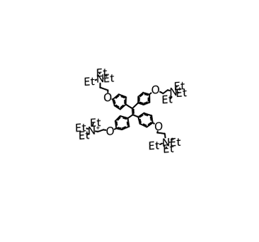 CC[N+](CC)(CC)CCOc1ccc(C(=C(c2ccc(OCC[N+](CC)(CC)CC)cc2)c2ccc(OCC[N+](CC)(CC)CC)cc2)c2ccc(OCC[N+](CC)(CC)CC)cc2)cc1